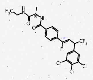 C[C@@H](NC(=O)c1ccc(/C(F)=C/C(c2cc(Cl)c(Cl)c(Cl)c2)C(F)(F)F)cc1)C(=O)NCC(F)(F)F